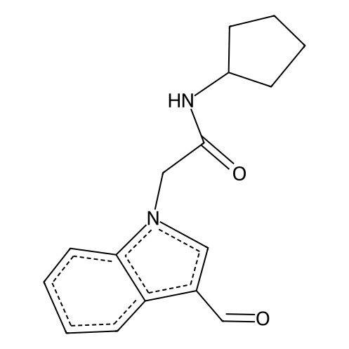 O=Cc1cn(CC(=O)NC2CCCC2)c2ccccc12